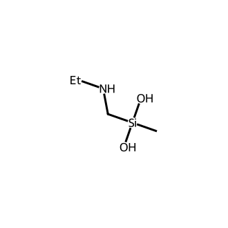 CCNC[Si](C)(O)O